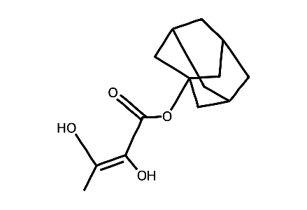 CC(O)=C(O)C(=O)OC12CC3CC(CC(C3)C1)C2